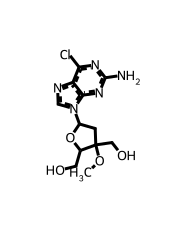 COC1(CO)CC(n2cnc3c(Cl)nc(N)nc32)OC1CO